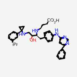 CC(C)c1cccc(C2(NC[C@H](O)[C@H](Cc3ccc(Nc4cc(-c5ccccc5)ncn4)cc3)NCCCC(=O)O)CC2)c1